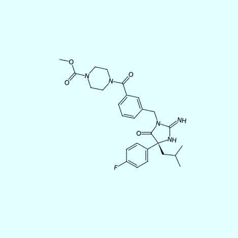 COC(=O)N1CCN(C(=O)c2cccc(CN3C(=N)N[C@](CC(C)C)(c4ccc(F)cc4)C3=O)c2)CC1